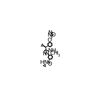 Cc1ccc(C(=O)NC2CC2)cc1-n1ncc(C(=C2CC2)c2cccc(OCc3nnco3)c2)c1N